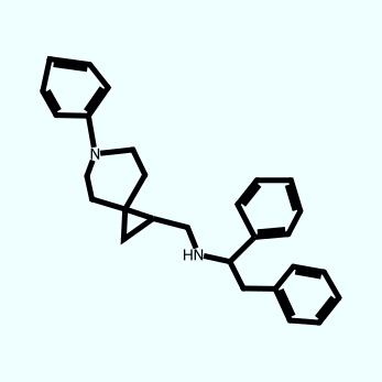 c1ccc(CC(NCC2CC23CCN(c2ccccc2)CC3)c2ccccc2)cc1